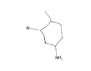 CC1CCC(N)CC1Br